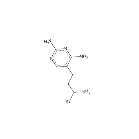 CCC(N)CCc1cnc(N)nc1N